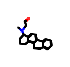 CN(CC=O)C1CCCc2c1ccc1c2ccc2ccccc21